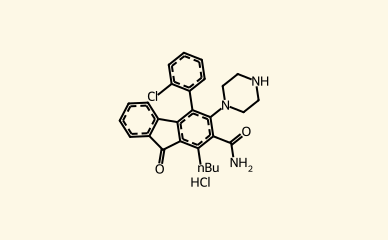 CCCCc1c2c(c(-c3ccccc3Cl)c(N3CCNCC3)c1C(N)=O)-c1ccccc1C2=O.Cl